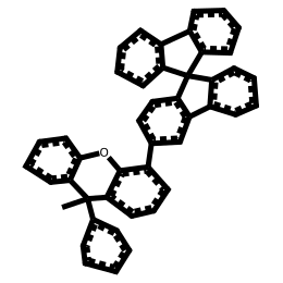 CC1(c2ccccc2)c2ccccc2Oc2c(-c3ccc4c(c3)-c3ccccc3C43c4ccccc4-c4ccccc43)cccc21